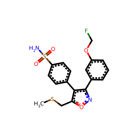 CSCc1onc(-c2cccc(OCF)c2)c1-c1ccc(S(N)(=O)=O)cc1